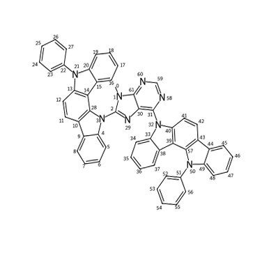 Cn1c(-n2c3ccccc3c3ccc4c(c5ccccc5n4-c4ccccc4)c32)nc2c(-n3c4ccccc4c4c3ccc3c5ccccc5n(-c5ccccc5)c34)ncnc21